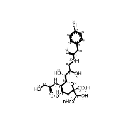 CCCCCC[C@H](O)[C@]1(C(=O)O)C[C@H](O)[C@@H](NC(=O)CO)[C@H]([C@H](O)[C@H](O)CNC(=O)Cc2ccc(Cl)cc2)O1